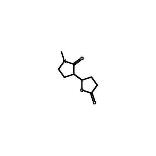 CN1CCC(C2CCC(=O)O2)C1=O